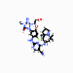 C[C@H](O)COc1cc(F)c(Nc2ncc(C#N)c(N[C@@H]3C[C@@H]4CCCN4C(C)(C)C3)n2)cc1N1NNN(C)C1=O